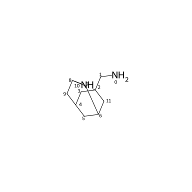 NCC12CC3CC(CC(C3)N1)C2